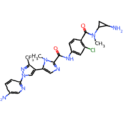 CN(C(=O)c1ccc(NC(=O)c2ncc(-c3cn(-c4ccc(N)cn4)nc3C(F)(F)F)n2C)cc1Cl)C1CC1N